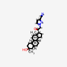 C[C@@]1(O)CC[C@H]2[C@H](CC[C@@H]3[C@@H]2CC[C@]2(C)[C@@H](C(=O)Cn4ccc(C#N)n4)CC[C@@H]32)C1